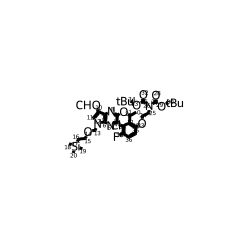 CC(Oc1cnc2c(n1)c(C=O)cn2COCC[Si](C)(C)C)c1c(OCCN(C(=O)OC(C)(C)C)C(=O)OC(C)(C)C)ccc(F)c1Cl